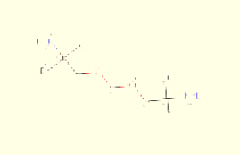 CCC(C)(N)COCOCC(C)(N)CC